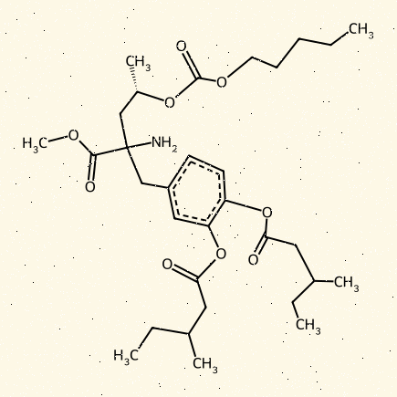 CCCCCOC(=O)O[C@@H](C)CC(N)(Cc1ccc(OC(=O)CC(C)CC)c(OC(=O)CC(C)CC)c1)C(=O)OC